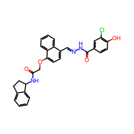 O=C(COc1ccc(C=NNC(=O)c2ccc(O)c(Cl)c2)c2ccccc12)NC1CCc2ccccc21